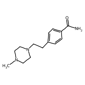 CN1CCN(CCc2ccc(C(N)=O)cc2)CC1